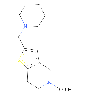 O=C(O)N1CCc2sc(CN3CCCCC3)cc2C1